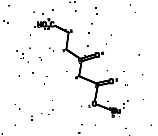 CCC(C)OC(=O)CC(=O)CCC(=O)O